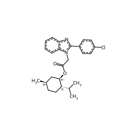 CC(C)[C@@H]1CC[C@@H](C)C[C@H]1OC(=O)Cn1c(-c2ccc(Cl)cc2)nc2ccccc21